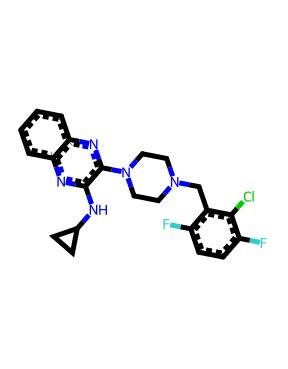 Fc1ccc(F)c(CN2CCN(c3nc4ccccc4nc3NC3CC3)CC2)c1Cl